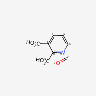 C=O.O=C(O)c1cccnc1C(=O)O